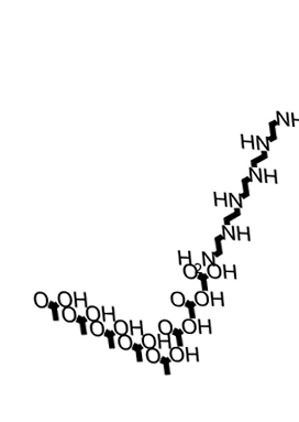 CC(=O)O.CC(=O)O.CC(=O)O.CC(=O)O.CC(=O)O.CC(=O)O.CC(=O)O.CC(=O)O.NCCNCCNCCNCCNCCN